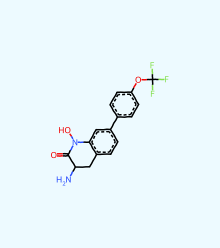 NC1Cc2ccc(-c3ccc(OC(F)(F)F)cc3)cc2N(O)C1=O